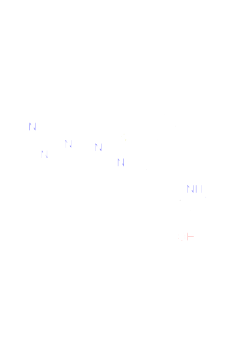 NC1(c2ccc(-c3nc(N4CCN(c5cnccn5)CC4)sc3-c3ccccc3)cc2)CC(O)C1